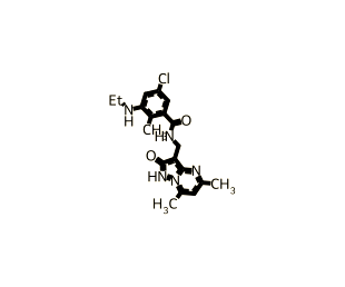 CCNc1cc(Cl)cc(C(=O)NCc2c(=O)[nH]n3c(C)cc(C)nc23)c1C